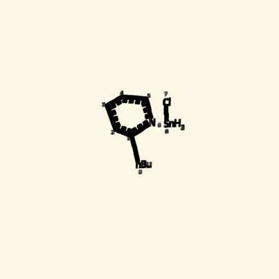 CCCCc1ccccn1.[Cl][SnH3]